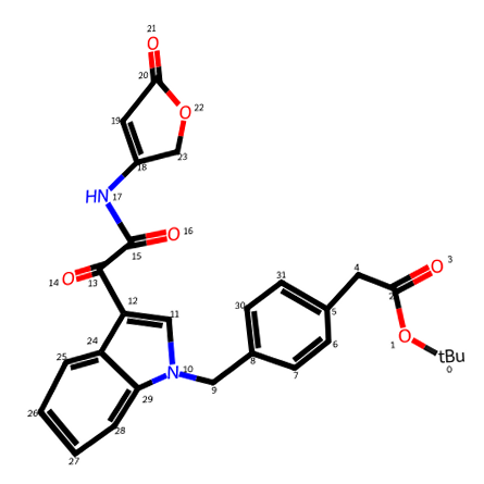 CC(C)(C)OC(=O)Cc1ccc(Cn2cc(C(=O)C(=O)NC3=CC(=O)OC3)c3ccccc32)cc1